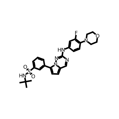 CC(C)(C)NS(=O)(=O)c1cccc(-c2ccc3cnc(Nc4ccc(N5CCOCC5)c(F)c4)nn23)c1